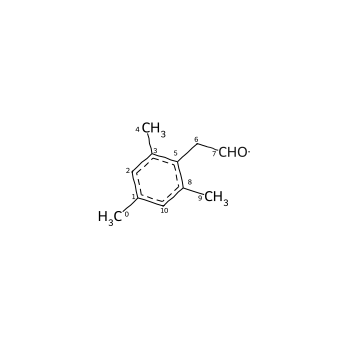 Cc1cc(C)c(C[C]=O)c(C)c1